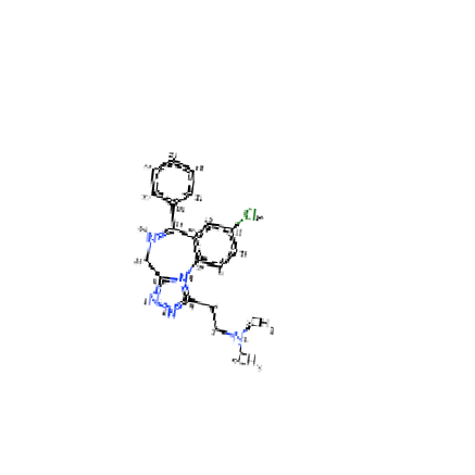 CN(C)CCc1nnc2n1-c1ccc(Cl)cc1C(c1ccccc1)=NC2